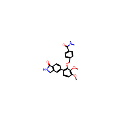 COc1ccc(-c2ccc3c(c2)CNC3=O)c(OCc2ccc(C(=O)N(C)C)cc2)c1OC